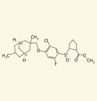 COC(=O)C1CCCC1[S+]([O-])c1cc(Cl)c(OCC2(C)C[C@@H]3CC(C)C[C@@H](C3)C2)cc1F